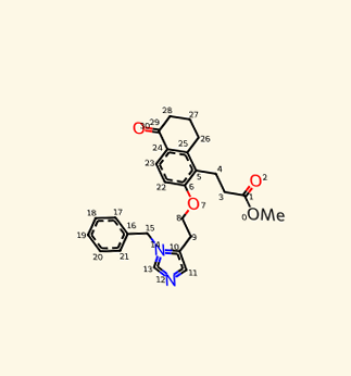 COC(=O)CCc1c(OCCc2cncn2Cc2ccccc2)ccc2c1CCCC2=O